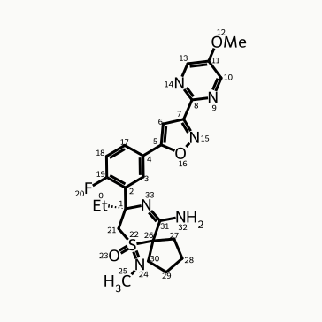 CC[C@@]1(c2cc(-c3cc(-c4ncc(OC)cn4)no3)ccc2F)CS(=O)(=NC)C2(CCCC2)C(N)=N1